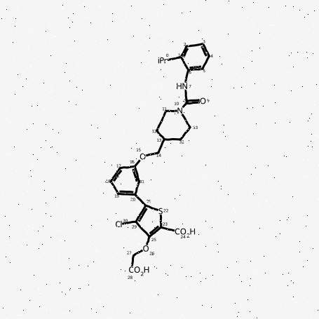 CC(C)c1ccccc1NC(=O)N1CCC(COc2cccc(-c3sc(C(=O)O)c(OCC(=O)O)c3Cl)c2)CC1